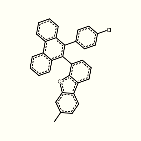 Cc1ccc2c(c1)oc1c(-c3c(-c4ccc(Cl)cc4)c4ccccc4c4ccccc34)cccc12